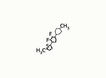 Cc1ccc(-c2ccc(C3CCC(C)CC3)c(F)c2F)s1